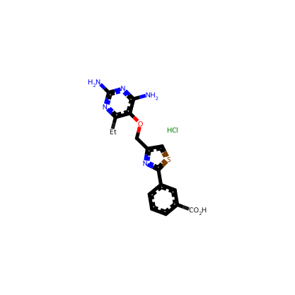 CCc1nc(N)nc(N)c1OCc1csc(-c2cccc(C(=O)O)c2)n1.Cl